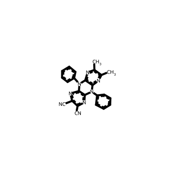 Cc1nc2c(nc1C)N(c1ccccc1)c1nc(C#N)c(C#N)nc1N2c1ccccc1